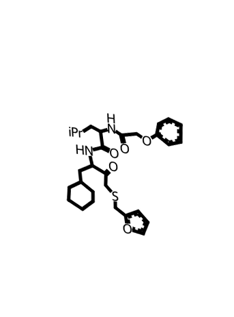 CC(C)CC(NC(=O)COc1ccccc1)C(=O)NC(CC1CCCCC1)C(=O)CSCc1ccco1